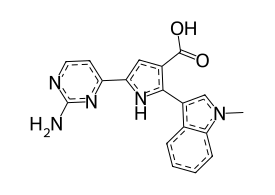 Cn1cc(-c2[nH]c(-c3ccnc(N)n3)cc2C(=O)O)c2ccccc21